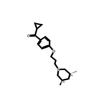 C[C@@H]1C[C@@H](C)CN(CCCOc2ccc(C(=O)C3CC3)cc2)C1